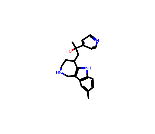 Cc1ccc2[nH]c3c(c2c1)CNCCC3CC(C)(O)c1ccncc1